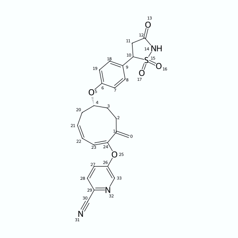 C=C1CC[C@@H](Oc2ccc(C3CC(=O)NS3(=O)=O)cc2)C/C=C\C=C/1Oc1ccc(C#N)nc1